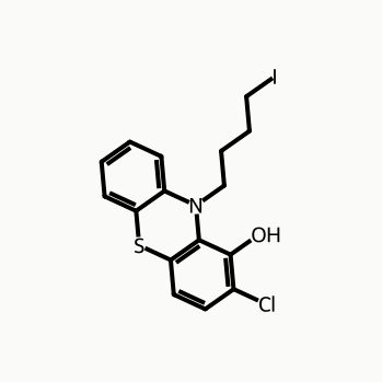 Oc1c(Cl)ccc2c1N(CCCCI)c1ccccc1S2